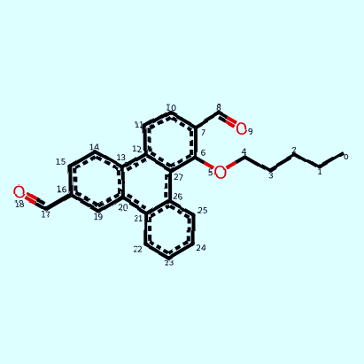 CCCCCOc1c(C=O)ccc2c3ccc(C=O)cc3c3ccccc3c12